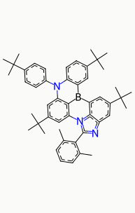 Cc1cccc(C)c1-c1nc2cc(C(C)(C)C)cc3c2n1-c1cc(C(C)(C)C)cc2c1B3c1cc(C(C)(C)C)ccc1N2c1ccc(C(C)(C)C)cc1